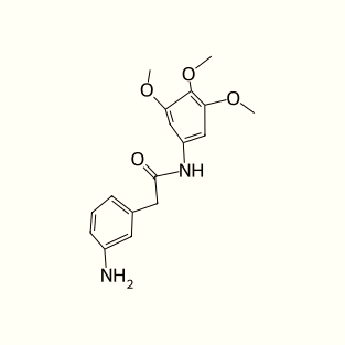 COc1cc(NC(=O)Cc2cccc(N)c2)cc(OC)c1OC